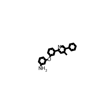 Cc1cc(-c2cccc(Oc3cccc(N)c3)c2)ncc1-c1ccccc1